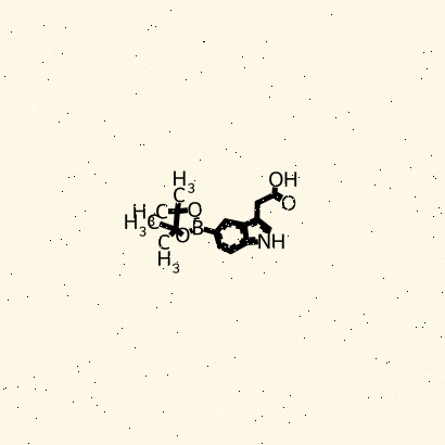 CC1(C)OB(c2ccc3[nH]cc(CC(=O)O)c3c2)OC1(C)C